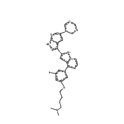 CN(C)CCCCOc1cc(F)cc(-c2nccc3[nH]c(-c4n[nH]c5ncc(-c6cncnc6)cc45)cc23)c1